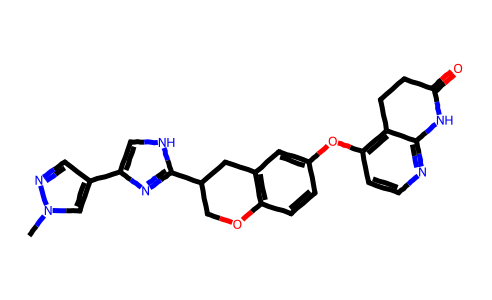 Cn1cc(-c2c[nH]c(C3COc4ccc(Oc5ccnc6c5CCC(=O)N6)cc4C3)n2)cn1